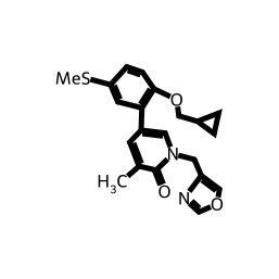 CSc1ccc(OCC2CC2)c(-c2cc(C)c(=O)n(Cc3cocn3)c2)c1